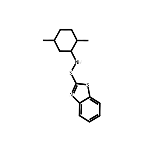 CC1CCC(C)C(NSc2nc3ccccc3s2)C1